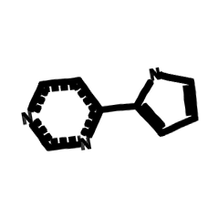 C1=C[N]C(c2ccncn2)=C1